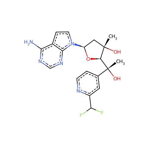 C[C@]1(O)C[C@H](n2ccc3c(N)ncnc32)O[C@@H]1[C@](C)(O)c1ccnc(C(F)F)c1